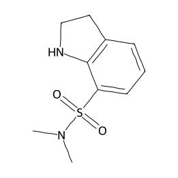 CN(C)S(=O)(=O)c1cccc2c1NCC2